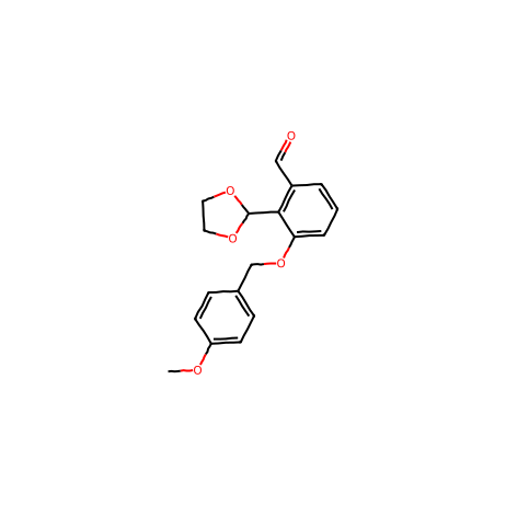 COc1ccc(COc2cccc(C=O)c2C2OCCO2)cc1